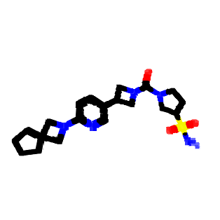 NS(=O)(=O)C1CCN(C(=O)N2CC(c3ccc(N4CC5(CCCC5)C4)nc3)C2)C1